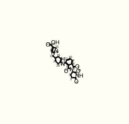 O=C1CCC(N2C(=O)c3cccc(NC4CCC(Cn5cc(C(=O)O)cn5)CC4)c3C2=O)C(=O)N1